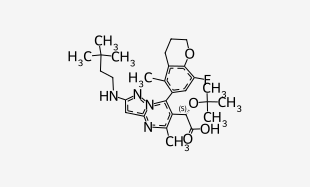 Cc1nc2cc(NCCC(C)(C)C)nn2c(-c2cc(F)c3c(c2C)CCCO3)c1[C@H](OC(C)(C)C)C(=O)O